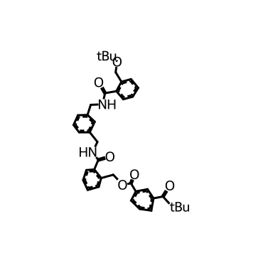 CC(C)(C)OCc1ccccc1C(=O)NCc1cccc(CNC(=O)c2ccccc2COC(=O)c2cccc(C(=O)C(C)(C)C)c2)c1